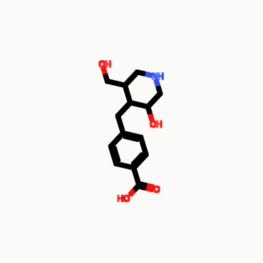 O=C(O)c1ccc(CC2C(O)CNCC2CO)cc1